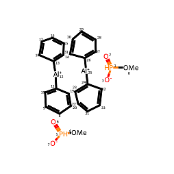 CO[PH](=O)[O-].CO[PH](=O)[O-].c1cc[c]([Al+][c]2ccccc2)cc1.c1cc[c]([Al+][c]2ccccc2)cc1